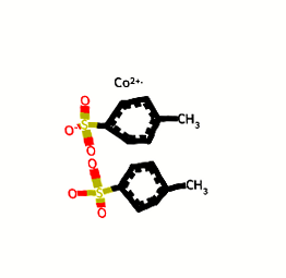 Cc1ccc(S(=O)(=O)[O-])cc1.Cc1ccc(S(=O)(=O)[O-])cc1.[Co+2]